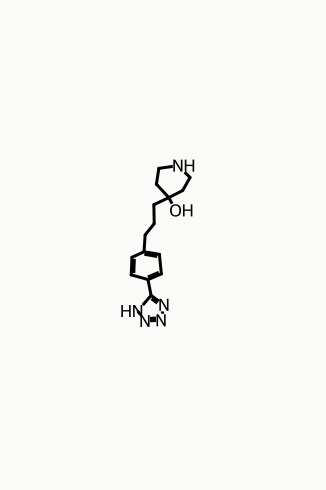 OC1(CCCc2ccc(-c3nnn[nH]3)cc2)CCNCC1